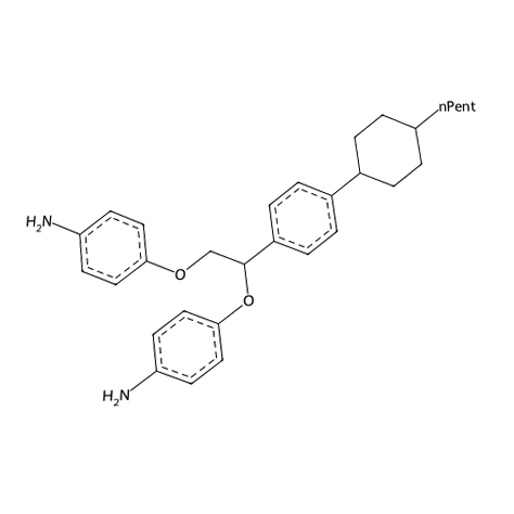 CCCCCC1CCC(c2ccc(C(COc3ccc(N)cc3)Oc3ccc(N)cc3)cc2)CC1